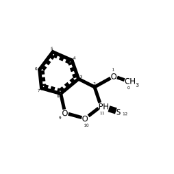 COC1c2ccccc2OO[PH]1=S